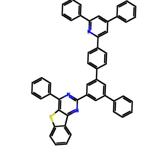 c1ccc(-c2cc(-c3ccc(-c4cc(-c5ccccc5)cc(-c5ccccc5)n4)cc3)cc(-c3nc(-c4ccccc4)c4sc5ccccc5c4n3)c2)cc1